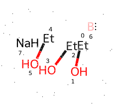 CCO.CCO.CCO.[B].[NaH]